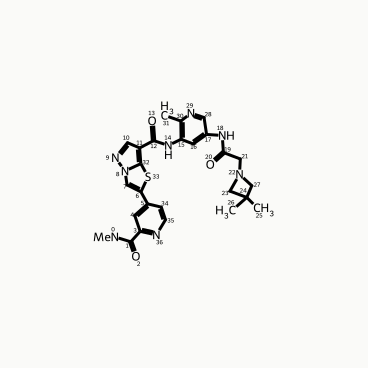 CNC(=O)c1cc(-c2cn3ncc(C(=O)Nc4cc(NC(=O)CN5CC(C)(C)C5)cnc4C)c3s2)ccn1